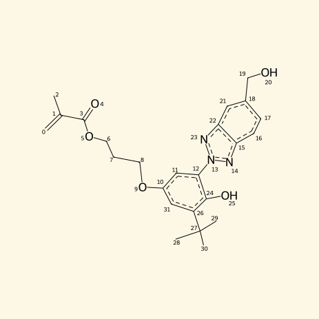 C=C(C)C(=O)OCCCOc1cc(-n2nc3ccc(CO)cc3n2)c(O)c(C(C)(C)C)c1